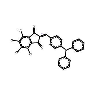 Cc1c(Cl)c(Cl)c(Cl)c2c1C(=O)/C(=C/c1ccc(N(c3ccccc3)c3ccccc3)cc1)C2=O